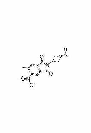 CC(=O)N1CC(N2C(=O)c3cc(C)c([N+](=O)[O-])cc3C2=O)C1